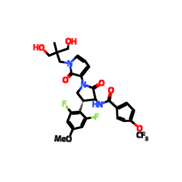 COc1cc(F)c([C@@H]2CN(c3cccn(CC(C)(CO)CO)c3=O)C(=O)C2NC(=O)c2ccc(OC(F)(F)F)cc2)c(F)c1